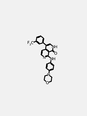 O=c1[nH]cc(-c2cccc(C(F)(F)F)c2)c2ccnc(Nc3ccc(N4CCOCC4)cc3)c12